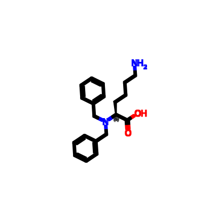 NCCCC[C@@H](C(=O)O)N(Cc1ccccc1)Cc1ccccc1